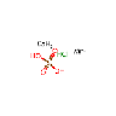 Cl.O=S(=O)(O)O.[CaH2].[Mn]